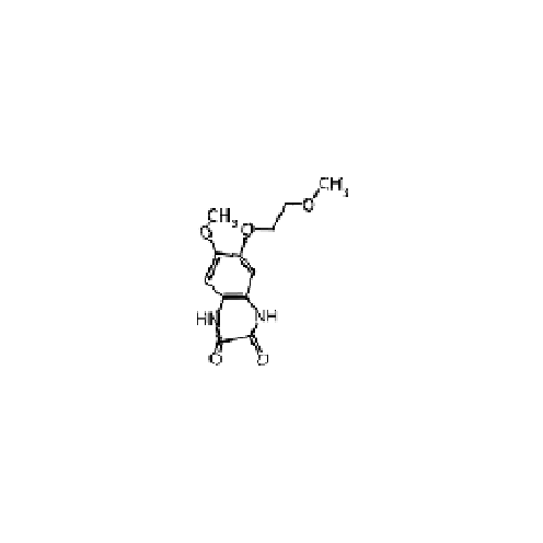 COCCOc1cc2[nH]c(=O)c(=O)[nH]c2cc1OC